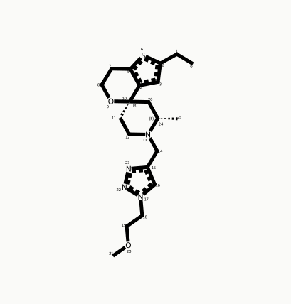 CCc1cc2c(s1)CCO[C@@]21CCN(Cc2cn(CCOC)nn2)[C@@H](C)C1